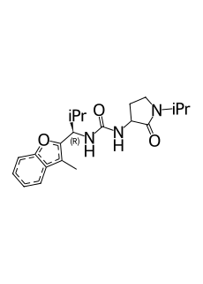 Cc1c([C@H](NC(=O)NC2CCN(C(C)C)C2=O)C(C)C)oc2ccccc12